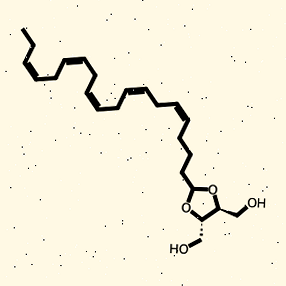 CC/C=C\C/C=C\C/C=C\C/C=C\C/C=C\CCCC1O[C@@H](CO)[C@H](CO)O1